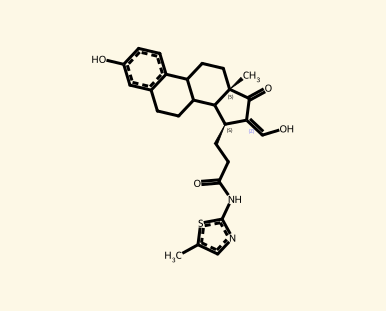 Cc1cnc(NC(=O)CC[C@@H]2/C(=C/O)C(=O)[C@@]3(C)CCC4c5ccc(O)cc5CCC4C23)s1